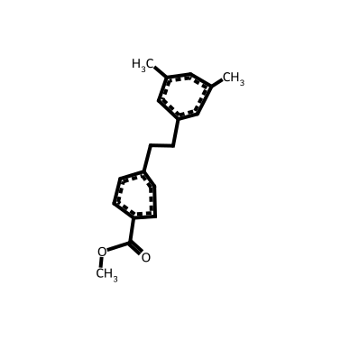 COC(=O)c1ccc(CCc2cc(C)cc(C)c2)cc1